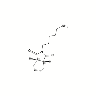 NCCCCCN1C(=O)[C@H]2CC=CC[C@H]2C1=O